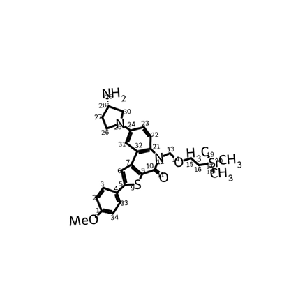 COc1ccc(-c2cc3c(s2)c(=O)n(COCC[Si](C)(C)C)c2ccc(N4CC[C@H](N)C4)cc32)cc1